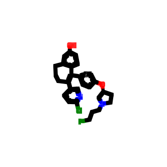 Oc1ccc2c(c1)CCCC(c1ccc(Cl)nc1)=C2c1ccc(O[C@H]2CCN(CCCF)C2)cc1